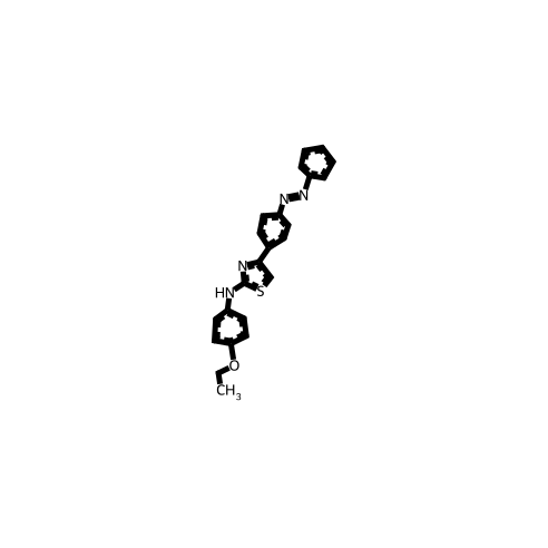 CCOc1ccc(Nc2nc(-c3ccc(N=Nc4ccccc4)cc3)cs2)cc1